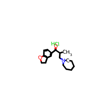 CC(CN1CCCCCC1)C(=O)c1ccc2c(c1)CCO2.Cl